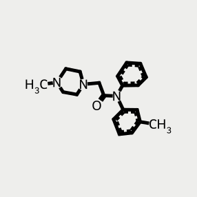 Cc1cccc(N(C(=O)CN2CCN(C)CC2)c2ccccc2)c1